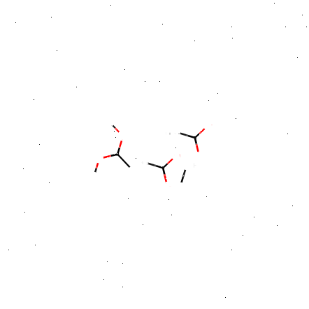 CC=O.CCCCC(O)O.CCCCC(O)O.CCOC(C)OCC